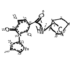 O=C(NC1CN2CCC1CC2)c1ccc(=O)n(-c2nccs2)c1